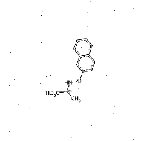 C[C@H](NOc1ccc2ccccc2c1)C(=O)O